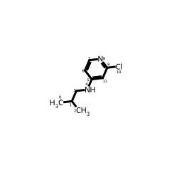 CC(C)CNc1ccnc(Cl)c1